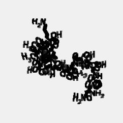 C[C@H](NC(=O)[C@@H](NC(=O)CNC(=O)CNC(=O)[C@@H](NC(=O)CNC(=O)[C@H](CO)NC(=O)[C@H](CO)NC(=O)CNC(=O)[C@@H]1CCCN1C(=O)[C@@H](N)CC(N)=O)[C@@H](C)O)[C@@H](C)O)C(=O)N[C@H](C(=O)N[C@@H](Cc1c[nH]c2ccccc12)C(=O)N[C@@H](CCCCN)C(=O)O)[C@@H](C)O